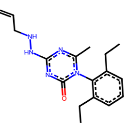 C=CCNNc1nc(C)n(-c2c(CC)cccc2CC)c(=O)n1